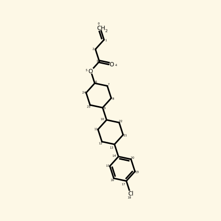 C=CCC(=O)OC1CCC(C2CCC(c3ccc(Cl)cc3)CC2)CC1